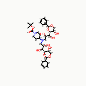 CC(C)(C)OC(=O)N1CCC(N(CC(O)C(O)[C@@H]2OC(c3ccccc3)OC[C@H]2O)CC(O)C(O)[C@@H]2OC(c3ccccc3)OC[C@H]2O)CC1